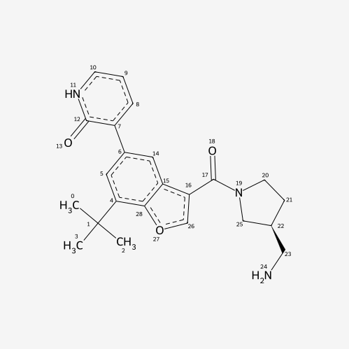 CC(C)(C)c1cc(-c2ccc[nH]c2=O)cc2c(C(=O)N3CC[C@@H](CN)C3)coc12